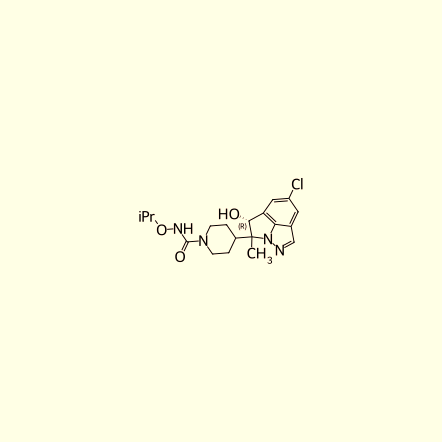 CC(C)ONC(=O)N1CCC(C2(C)[C@H](O)c3cc(Cl)cc4cnn2c34)CC1